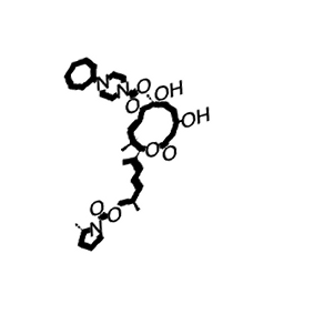 C/C(=C\C=C\[C@@H](C)COC(=O)N1CCC[C@@H]1C)[C@H]1OC(=O)C[C@@H](O)CC[C@](C)(O)[C@@H](OC(=O)N2CCN(C3CCCCCC3)CC2)/C=C/[C@@H]1C